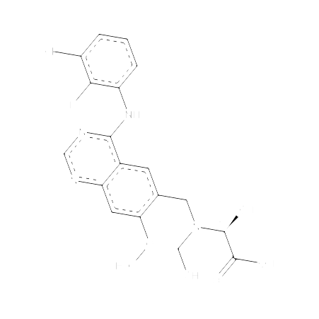 CCN(Cc1cc2c(Nc3cccc(Cl)c3F)ncnc2cc1OC)[C@@H](C)C(=O)O